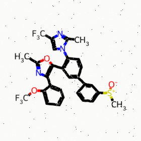 Cc1nc(-c2ccccc2OC(F)(F)F)c(-c2cc(-c3cccc([S+](C)[O-])c3)ccc2-n2cc(C(F)(F)F)nc2C)o1